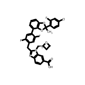 CC1(c2ccc(Cl)cc2F)Oc2cccc(-c3cc(F)c(Cc4nc5ccc(C(=O)O)cc5n4C[C@@H]4CCO4)cc3F)c2O1